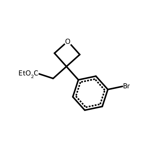 CCOC(=O)CC1(c2cccc(Br)c2)COC1